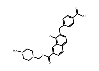 CN1CCN(COC(=O)c2ccc3ccc(Cc4ccc(C(=O)O)cc4)c(O)c3c2)CC1